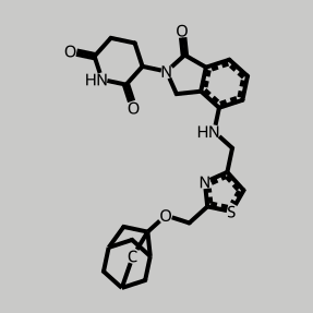 O=C1CCC(N2Cc3c(NCc4csc(COC56CC7CC(CC5C7)C6)n4)cccc3C2=O)C(=O)N1